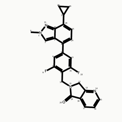 Cn1cc2c(-c3cc(F)c(CN4Cc5ncccc5C4=O)c(F)c3)ccc(C3CC3)c2n1